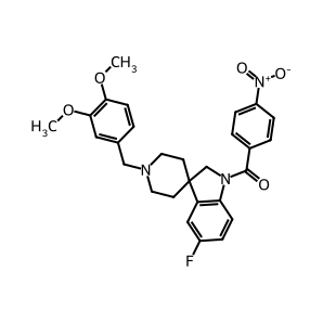 COc1ccc(CN2CCC3(CC2)CN(C(=O)c2ccc([N+](=O)[O-])cc2)c2ccc(F)cc23)cc1OC